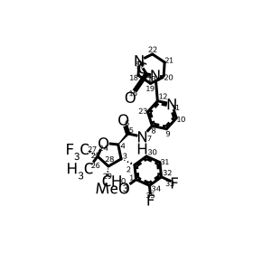 COc1c([C@H]2[C@H](C(=O)Nc3ccnc(N4C(=O)CN5CCC4CC5)c3)O[C@@](C)(C(F)(F)F)[C@H]2C)ccc(F)c1F